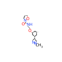 Cn1cc(-c2c[c]cc(OCCNC(=O)N3C=CCO3)c2)cn1